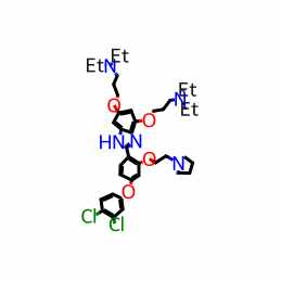 CCN(CC)CCCOc1cc(OCCCN(CC)CC)c2nc(-c3ccc(Oc4ccc(Cl)c(Cl)c4)cc3OCCN3CCCC3)[nH]c2c1